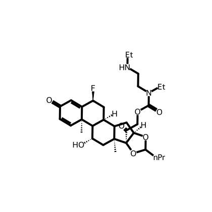 CCCC1O[C@@H]2CC3[C@@H]4C[C@H](F)C5=CC(=O)C=C[C@]5(C)C4[C@@H](O)C[C@]3(C)[C@]2(C(=O)COC(=O)N(CC)CCNCC)O1